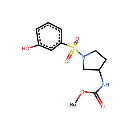 CC(C)(C)OC(=O)NC1CCN(S(=O)(=O)c2cccc(O)c2)C1